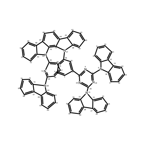 c1cc(-c2nc(-n3c4ccccc4c4ccccc43)nc(-n3c4ccccc4c4ccccc43)n2)cc(-n2c3ccccc3c3ccc4c5ccccc5n(-c5cccc(-n6c7ccccc7c7ccccc76)n5)c4c32)c1